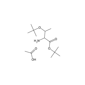 CC(=O)O.CC(OC(C)(C)C)C(N)C(=O)OC(C)(C)C